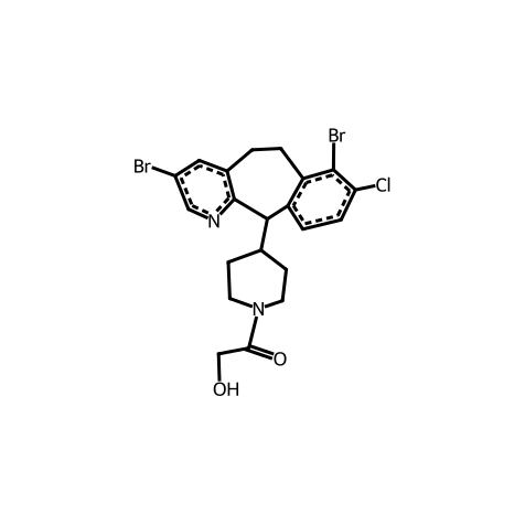 O=C(CO)N1CCC(C2c3ccc(Cl)c(Br)c3CCc3cc(Br)cnc32)CC1